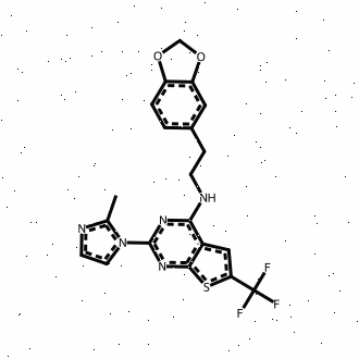 Cc1nccn1-c1nc(NCCc2ccc3c(c2)OCO3)c2cc(C(F)(F)F)sc2n1